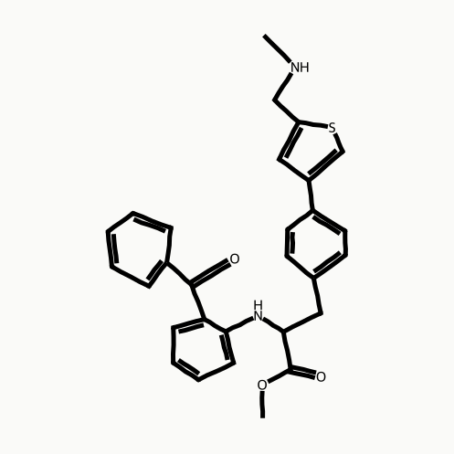 CNCc1cc(-c2ccc(CC(Nc3ccccc3C(=O)c3ccccc3)C(=O)OC)cc2)cs1